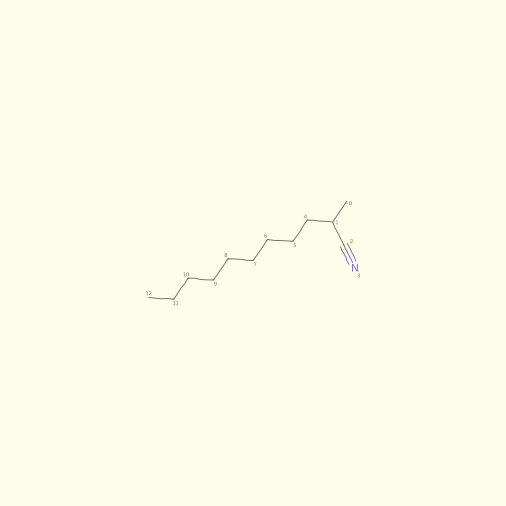 [CH2]C(C#N)CCCCCCCCC